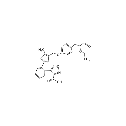 CCOC(C=O)Cc1ccc(OCc2sc(-c3ccccc3-c3conc3C(=O)O)cc2C)cc1